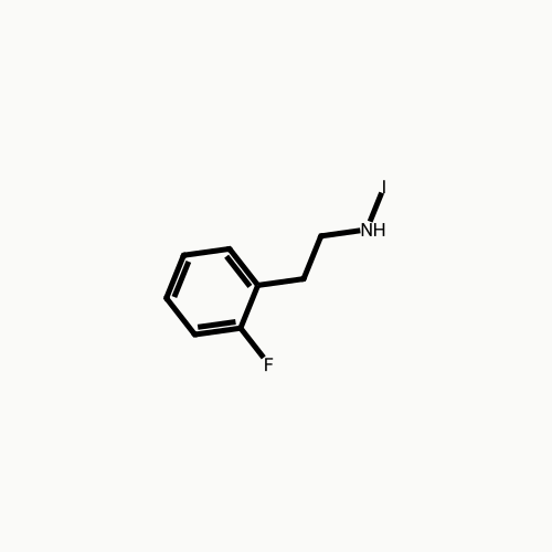 Fc1ccccc1CCNI